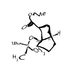 COC(=O)C1C[C@@H]2CCC[C@]12O[Si](C)(C)C(C)(C)C